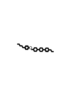 CCCCCc1ccc(OCC2CCC(C3CCC(C4C=CC(CCC)CC4)CC3)CC2)cc1